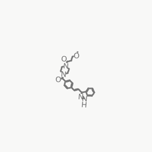 COCCC(=O)N1CCN(C(=O)c2ccc(/C=C/c3n[nH]c4ccccc34)cc2)CC1